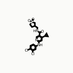 O=C(NCC1CCS(=O)(=O)C1)c1cnc(Nc2ccc(Cl)c(Cl)c2)cc1C1CC1